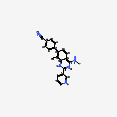 CNc1nc(-c2cccnc2)nc2c(C)c(-c3ccc(C#N)cc3)ccc12